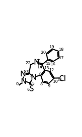 Cn1nc2n(c1=S)-c1ccc(Cl)cc1C(c1ccccc1)=NC2